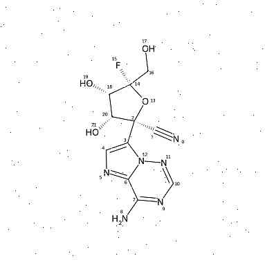 N#C[C@@]1(c2cnc3c(N)ncnn23)O[C@](F)(CO)[C@@H](O)[C@H]1O